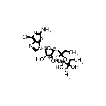 CCC(C)(C[C@H]1O[C@@H](n2cnc3c(Cl)nc(N)nc32)[C@H](O)[C@@H]1O)OP(=O)(O)C(C)(O)CC